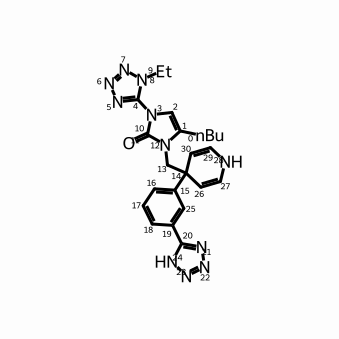 CCCCc1cn(-c2nnnn2CC)c(=O)n1CC1(c2cccc(-c3nnn[nH]3)c2)C=CNC=C1